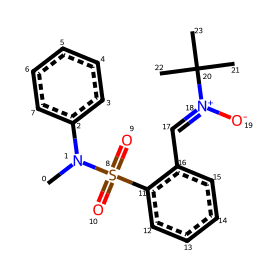 CN(c1ccccc1)S(=O)(=O)c1ccccc1/C=[N+](\[O-])C(C)(C)C